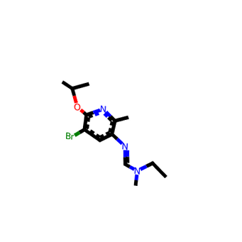 CCN(C)C=Nc1cc(Br)c(OC(C)C)nc1C